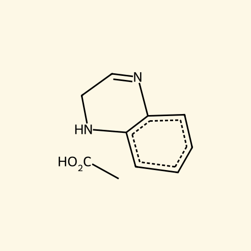 C1=Nc2ccccc2NC1.CC(=O)O